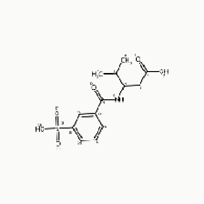 CC(C)C(CC(=O)O)NC(=O)c1cccc(S(=O)(=O)O)c1